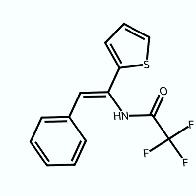 O=C(NC(=Cc1ccccc1)c1cccs1)C(F)(F)F